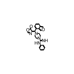 N=C(Nc1ccccc1)N1CCN(C(=C2N=COC2=O)c2cccc3cocc23)CC1